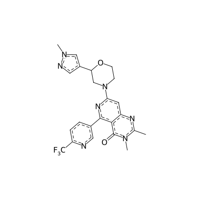 Cc1nc2cc(N3CCOC(c4cnn(C)c4)C3)nc(-c3ccc(C(F)(F)F)nc3)c2c(=O)n1C